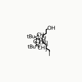 CC(C)(C)[Si](C)(C)O[Si](C)(C)C(C)(C)C.OCCC=C=CCCCI